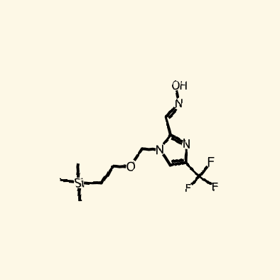 C[Si](C)(C)CCOCn1cc(C(F)(F)F)nc1C=NO